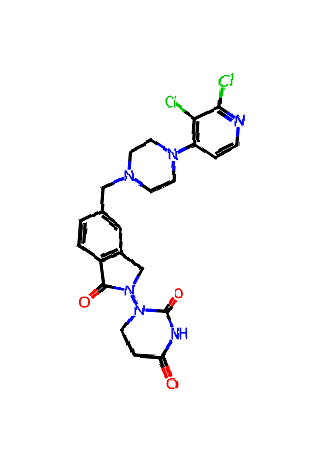 O=C1CCN(N2Cc3cc(CN4CCN(c5ccnc(Cl)c5Cl)CC4)ccc3C2=O)C(=O)N1